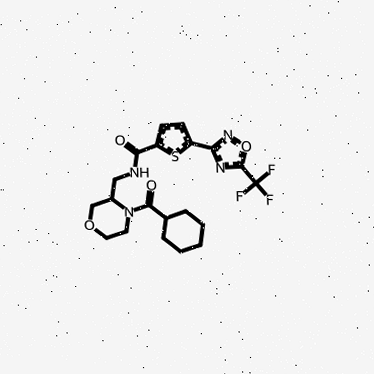 O=C(NCC1COCCN1C(=O)C1CCCCC1)c1ccc(-c2noc(C(F)(F)F)n2)s1